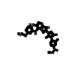 Bc1cnc2[nH]c(-c3cc(C)n(-c4ccc(N(C)SC)cc4C)c3C)nc2c1Nc1cccc(SN)c1